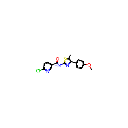 COc1ccc(-c2nc(NC(=O)c3ccc(Cl)nc3)sc2C)cc1